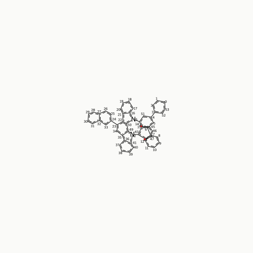 c1ccc(-c2cc(-c3ccccc3)cc(-n3c4ccccc4c4c(-c5ccc6ccccc6c5)cc5c6ccccc6n(-c6ccccc6)c5c43)c2)cc1